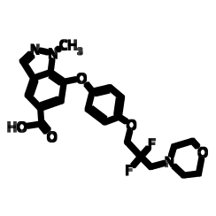 Cn1ncc2cc(C(=O)O)cc(Oc3ccc(OCC(F)(F)CN4CCOCC4)cc3)c21